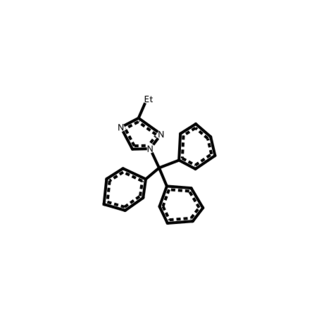 CCc1ncn(C(c2ccccc2)(c2ccccc2)c2ccccc2)n1